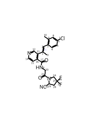 C/C(=C\c1ccc(Cl)cc1C)c1cnccc1C(=O)NCC(=O)N1CC(F)(F)CC1C#N